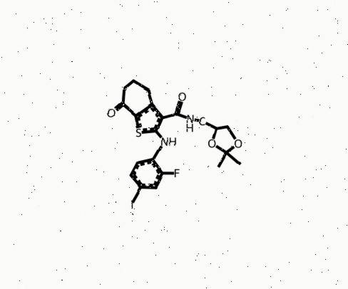 CC1(C)OCC(CNC(=O)c2c(Nc3ccc(I)cc3F)sc3c2CCCC3=O)O1